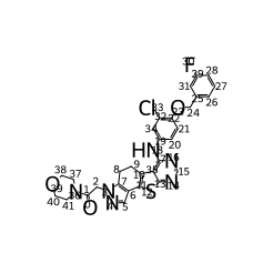 O=C(Cn1ncc2c1CCc1c-2sc2ncnc(Nc3ccc(OCc4cccc(F)c4)c(Cl)c3)c12)N1CCOCC1